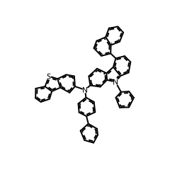 c1ccc(-c2ccc(N(c3ccc4sc5ccccc5c4c3)c3ccc4c5c(-c6cccc7ccccc67)cccc5n(-c5ccccc5)c4c3)cc2)cc1